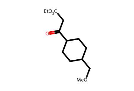 CCOC(=O)CC(=O)C1CCC(COC)CC1